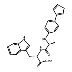 COC(=O)[C@H](Cc1c[nH]c2ccccc12)NC(=O)[C@H](C)Nc1ccc(-c2ccsc2)cc1